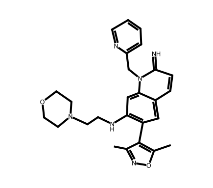 Cc1noc(C)c1-c1cc2ccc(=N)n(Cc3ccccn3)c2cc1NCCN1CCOCC1